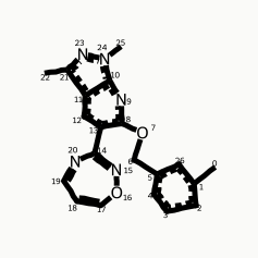 Cc1cccc(COc2nc3c(cc2C2=NOC=CC=N2)c(C)nn3C)c1